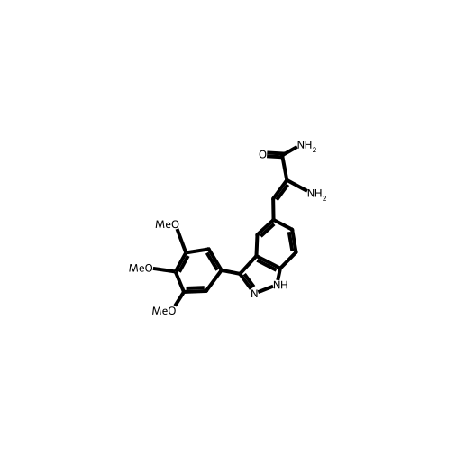 COc1cc(-c2n[nH]c3ccc(/C=C(\N)C(N)=O)cc23)cc(OC)c1OC